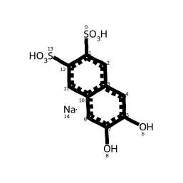 O=S(=O)(O)c1cc2cc(O)c(O)cc2cc1S(=O)(=O)O.[Na]